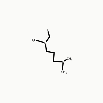 CN(C)CCCN(C)CI